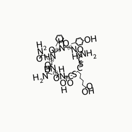 NC(=O)CC[C@@H]1NC(=O)[C@H](Cc2ccccc2)NC(=O)[C@H](Cc2ccc(O)cc2)NC(=O)[C@@H](N)CSCC(CCCCC(=O)O)SC[C@@H](C(=O)O)NC(=O)[C@H](CC(N)=O)NC1=O